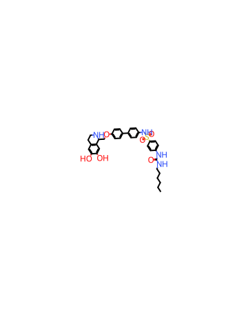 CCCCCCNC(=O)Nc1ccc(S(=O)(=O)Nc2ccc(-c3ccc(OCC4NCCc5cc(O)c(O)cc54)cc3)cc2)cc1